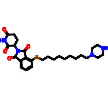 O=C1CCC(N2C(=O)c3cccc(SCCCCCCCCCN4CCNCC4)c3C2=O)C(=O)N1